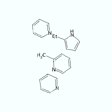 CCc1ccc[nH]1.Cc1ccccn1.c1ccncc1.c1ccncc1